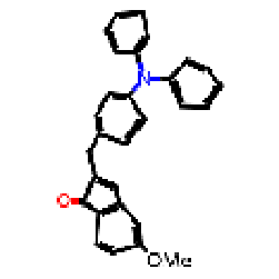 COc1ccc2c(c1)C=C(Cc1ccc(N(c3ccccc3)c3ccccc3)cc1)C2=O